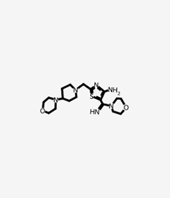 N=C(c1sc(CN2CCC(N3CCOCC3)CC2)nc1N)N1CCOCC1